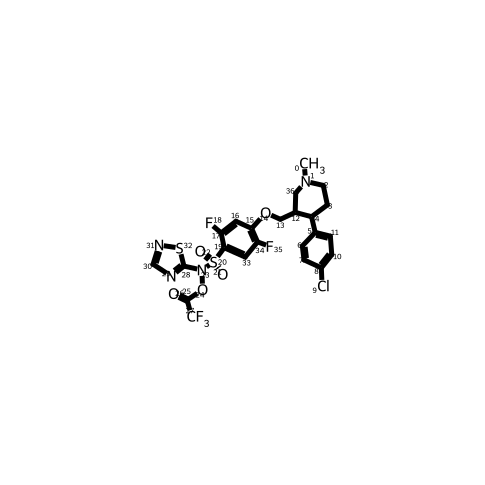 CN1CCC(c2ccc(Cl)cc2)C(COc2cc(F)c(S(=O)(=O)N(OC(=O)C(F)(F)F)c3ncns3)cc2F)C1